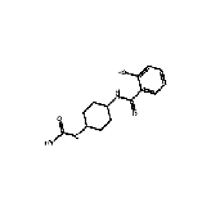 CCCC(=O)OC1CCC(NC(=O)c2ccccc2O)CC1